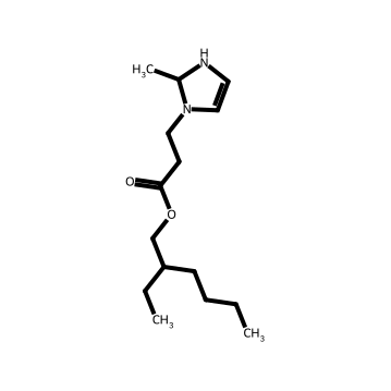 CCCCC(CC)COC(=O)CCN1C=CNC1C